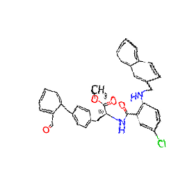 COC(=O)[C@H](Cc1ccc(-c2ccccc2C=O)cc1)NC(=O)c1cc(Cl)ccc1NCc1ccc2ccccc2c1